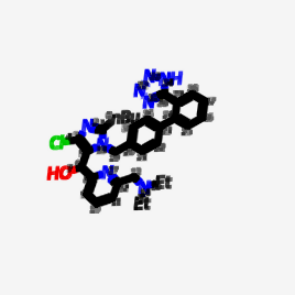 CCCCc1nc(Cl)c(C(O)c2cccc(CN(CC)CC)n2)n1Cc1ccc(-c2ccccc2-c2nnn[nH]2)cc1